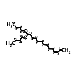 C=C/C=C\CCCCCCCCCC(OCCCC)OCCCC